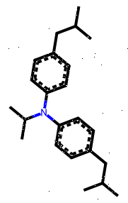 CC(C)Cc1ccc(N(c2ccc(CC(C)C)cc2)C(C)C)cc1